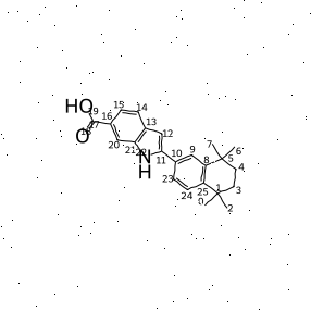 CC1(C)CCC(C)(C)c2cc(-c3cc4ccc(C(=O)O)cc4[nH]3)ccc21